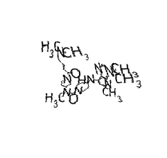 Cc1cc(NC2CCN(C(=O)N(C)C3CCN(C(=O)/C=C/CN(C)C)C3)CC2)c2ncn(C(C)C)c2n1